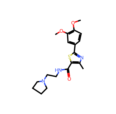 COc1ccc(-c2nc(C)c(C(=O)NCCN3CCCC3)s2)cc1OC